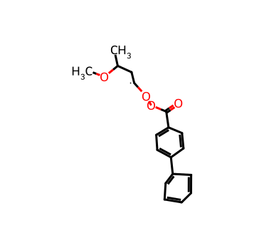 COC(C)C[CH]OOC(=O)c1ccc(-c2ccccc2)cc1